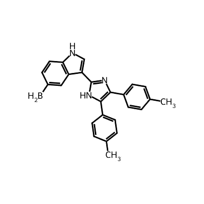 Bc1ccc2[nH]cc(-c3nc(-c4ccc(C)cc4)c(-c4ccc(C)cc4)[nH]3)c2c1